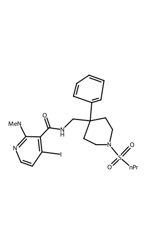 CCCS(=O)(=O)N1CCC(CNC(=O)c2c(I)ccnc2NC)(c2ccccc2)CC1